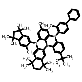 Cc1cc2c3c(c1)N(c1cc4c(cc1C)C(C)(C)CC4(C)C)c1cc4c(cc1B3c1cc(C(C)(C)C)ccc1N2c1ccc(-c2ccccc2)cc1C)C(C)(C)CCC4(C)C